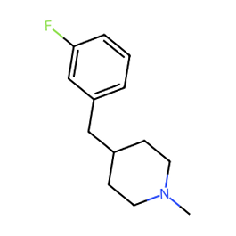 CN1CCC(Cc2cccc(F)c2)CC1